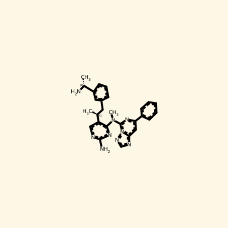 C[C@@H](N)c1cccc(C[C@H](C)c2cnc(N)nc2N(C)c2nc(-c3ccccc3)cc3ncnn23)c1